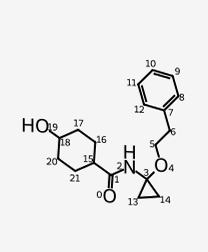 O=C(NC1(OCCc2ccccc2)CC1)C1CCC(O)CC1